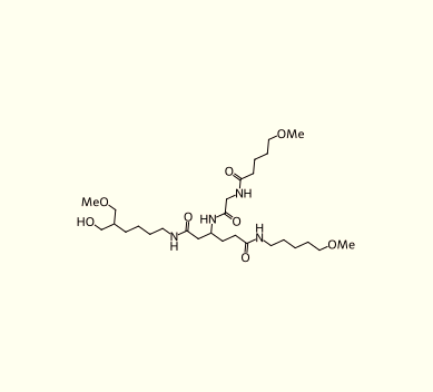 COCCCCCNC(=O)CCC(CC(=O)NCCCCC(CO)COC)NC(=O)CNC(=O)CCCCOC